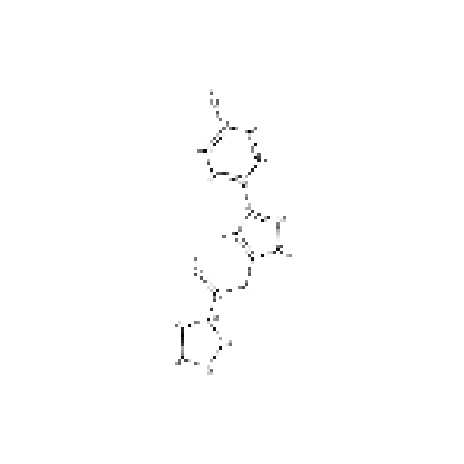 O=C(Cc1nc(-c2ccc(Cl)cc2)cs1)N1CCCC1